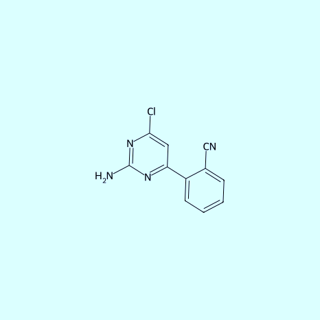 N#Cc1ccccc1-c1cc(Cl)nc(N)n1